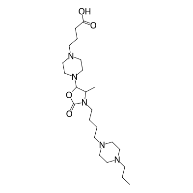 CCCN1CCN(CCCCN2C(=O)OC(N3CCN(CCCC(=O)O)CC3)C2C)CC1